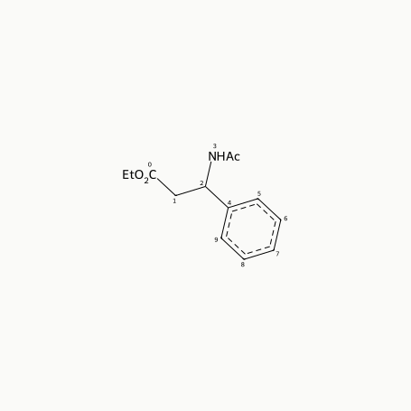 CCOC(=O)CC(NC(C)=O)c1ccccc1